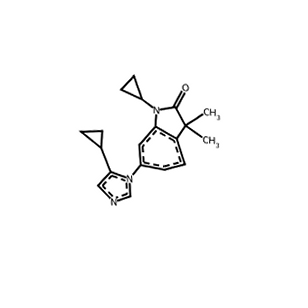 CC1(C)C(=O)N(C2CC2)c2cc(-n3cncc3C3CC3)ccc21